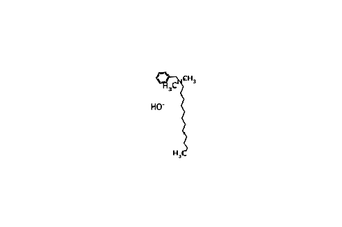 CCCCCCCCCCCC[N+](C)(C)Cc1ccccc1.[OH-]